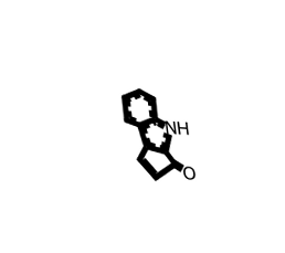 O=C1C=Cc2c1[nH]c1ccccc21